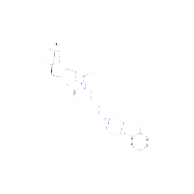 COc1ccccc1N1CCN(CCCCN2C(=O)C3CC(C2=O)C2C3C3C4CC5C3C5C42)CC1